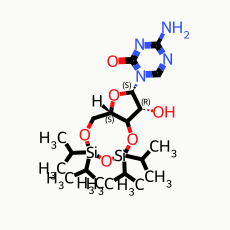 CC(C)[Si]1(C(C)C)OC[C@@H]2O[C@H](n3cnc(N)nc3=O)[C@H](O)C2O[Si](C(C)C)(C(C)C)O1